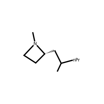 CCCC(C)C[C@@H]1CCN1C